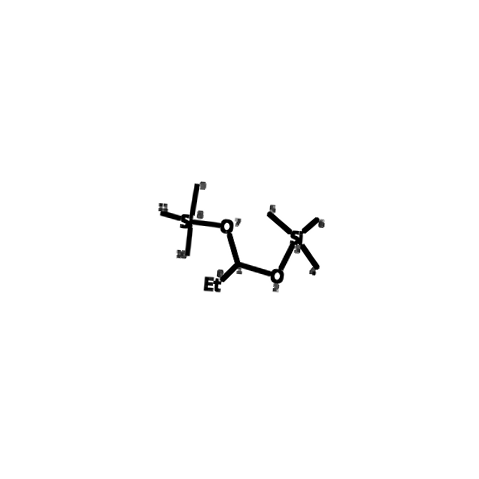 [CH2]CC(O[Si](C)(C)C)O[Si](C)(C)C